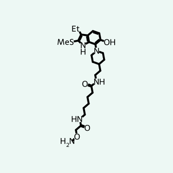 CCc1c(SC)[nH]c2c(N3CCC(CCNC(=O)CCCCCNC(=O)CON)CC3)c(O)ccc12